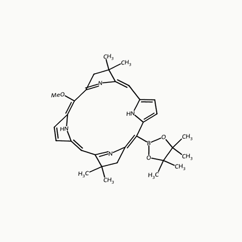 COc1c2nc(cc3ccc([nH]3)c(B3OC(C)(C)C(C)(C)O3)c3nc(cc4ccc1[nH]4)C(C)(C)C3)C(C)(C)C2